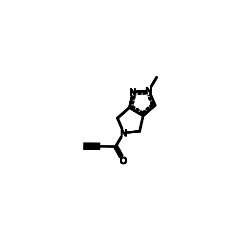 C#CC(=O)N1Cc2cn(C)nc2C1